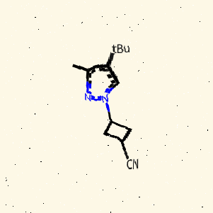 Cc1nn(C2CC(C#N)C2)cc1C(C)(C)C